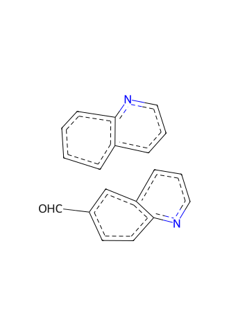 O=Cc1ccc2ncccc2c1.c1ccc2ncccc2c1